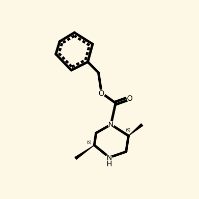 C[C@H]1CN(C(=O)OCc2ccccc2)[C@@H](C)CN1